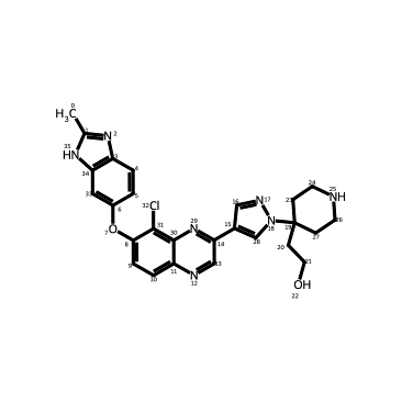 Cc1nc2ccc(Oc3ccc4ncc(-c5cnn(C6(CCO)CCNCC6)c5)nc4c3Cl)cc2[nH]1